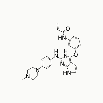 C=CC(=O)Nc1cccc(OC2=c3cc[nH]c3=NC(Nc3ccc(N4CCN(C)CC4)cc3)N2)c1